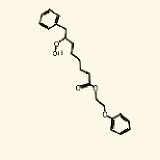 O=C(CCCCCC(Cc1ccccc1)OO)OCCOc1ccccc1